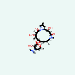 CC(C)C[C@@H]1NC(=O)[C@H](C)[C@@H](O)[C@H](C)[C@@H](O[C@@H]2O[C@H](C)C[C@H](N(C)C)[C@H]2O)[C@](C)(O)C[C@@H](C)CN(C)C(=O)C[C@@H]1O